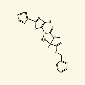 C[C@H](C(=O)N(C)c1sc(-c2cccnc2)nc1Cl)C(C)(N)C(=O)OCc1ccccc1